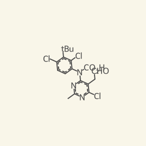 Cc1nc(Cl)c(CC=O)c(N(C(=O)O)c2ccc(Cl)c(C(C)(C)C)c2Cl)n1